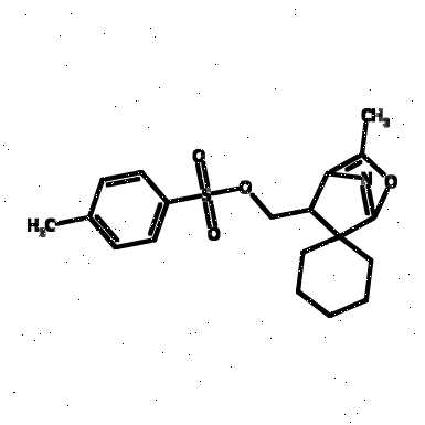 Cc1ccc(S(=O)(=O)OCC2c3nc(oc3C)C23CCCCC3)cc1